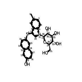 Cc1ccc2c(c1)c(Sc1ccc3cc(O)ccc3c1)cn2[C@@H]1O[C@H](CO)[C@@H](O)[C@H](O)[C@H]1O